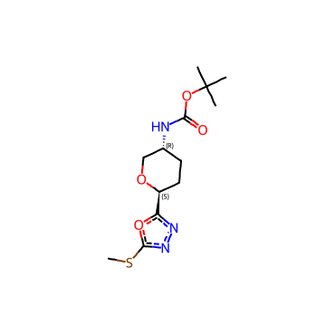 CSc1nnc([C@@H]2CC[C@@H](NC(=O)OC(C)(C)C)CO2)o1